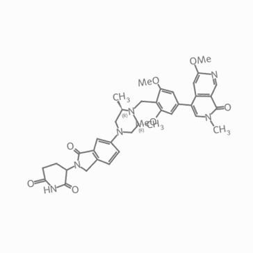 COc1cc2c(-c3cc(OC)c(CN4[C@H](C)CN(c5ccc6c(c5)C(=O)N(C5CCC(=O)NC5=O)C6)C[C@H]4C)c(OC)c3)cn(C)c(=O)c2cn1